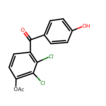 CC(=O)Oc1ccc(C(=O)c2ccc(O)cc2)c(Cl)c1Cl